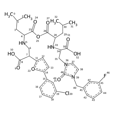 CC(C)CC(NCC(C(=O)O)c1ccc(-c2cccc(Cl)c2)o1)C(=O)OC(=O)C(CC(C)C)NC(Cn1ccn(Cc2cccc(F)c2)c1=O)C(=O)O